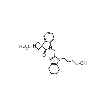 O=C(O)N1CC2(C1)C(=O)N(Cc1nc3c(n1CCCCO)CCCC3)c1ccccc12